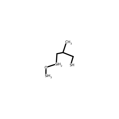 CC(CS)C[SiH2]O[SiH3]